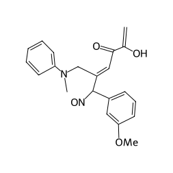 C=C(O)C(=O)/C=C(\CN(C)c1ccccc1)C(N=O)c1cccc(OC)c1